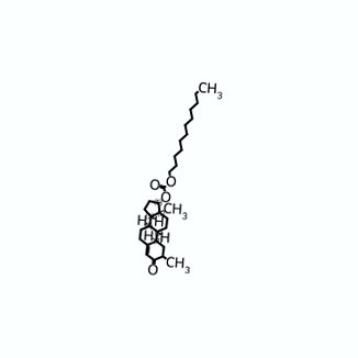 CCCCCCCCCCCCOC(=O)O[C@H]1CC[C@H]2[C@@H]3CCC4=CC(=O)C(C)C[C@@H]4[C@H]3CC[C@]12C